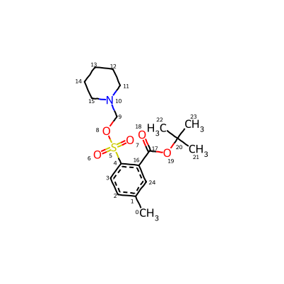 Cc1ccc(S(=O)(=O)OCN2CCCCC2)c(C(=O)OC(C)(C)C)c1